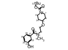 CN(CCOC1CCN(C(=O)OC(C)(C)C)CC1)C(=O)c1cccc(O)c1